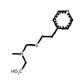 CN(CSCCc1ccncc1)CC(=O)O